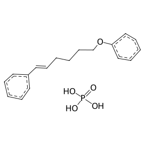 C(=Cc1ccccc1)CCCCOc1ccccc1.O=P(O)(O)O